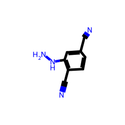 N#Cc1ccc(C#N)c(NN)c1